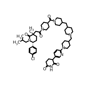 CC(C)CN1C(=O)[C@](C)(CC(=O)N2CCC(C(=O)N3CCC(CC4CCN(CC5CCN(c6ccc(C7CCC(=O)NC7=O)cn6)CC5)CC4)CC3)CC2)CC[C@@H]1c1ccc(Cl)cc1